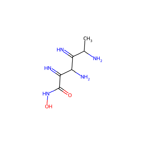 CC(N)C(=N)C(N)C(=N)C(=O)NO